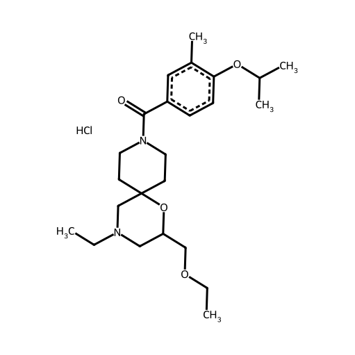 CCOCC1CN(CC)CC2(CCN(C(=O)c3ccc(OC(C)C)c(C)c3)CC2)O1.Cl